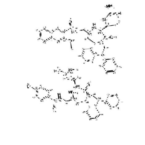 CCC(NC(=N)N)[C@@H]1N[C@H](CNC(=O)c2cc3ccccc3cc2OC)CCN(CC(c2ccccc2)c2ccccc2)C1=O.CCC(NC(=N)N)[C@@H]1N[C@H](CNC(=O)c2ccc(Br)cc2)CCN(CC(c2ccccc2)c2ccccc2)C1=O